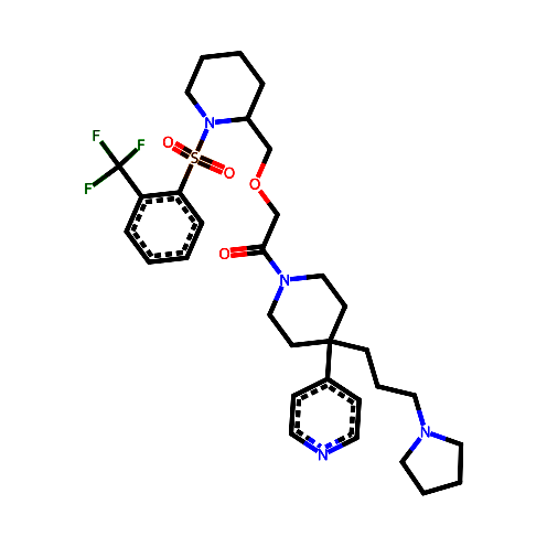 O=C(COCC1CCCCN1S(=O)(=O)c1ccccc1C(F)(F)F)N1CCC(CCCN2CCCC2)(c2ccncc2)CC1